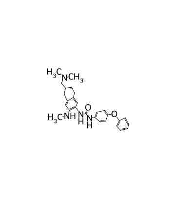 CNc1cc2c(cc1NC(=O)Nc1ccc(Oc3ccccc3)cc1)CCC(CN(C)C)C2